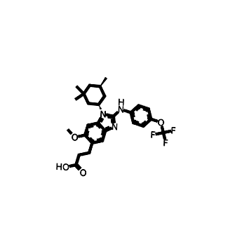 COc1cc2c(cc1CCC(=O)O)nc(Nc1ccc(OC(F)(F)F)cc1)n2[C@H]1C[C@H](C)CC(C)(C)C1